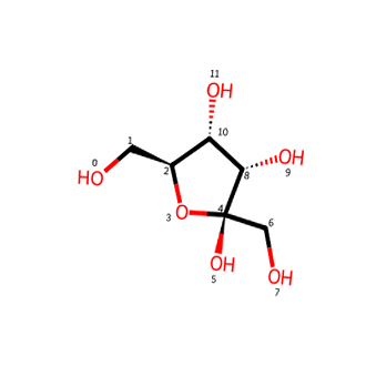 OC[C@@H]1O[C@@](O)(CO)[C@@H](O)[C@H]1O